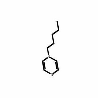 CCCCCN1C=C[N]C=C1